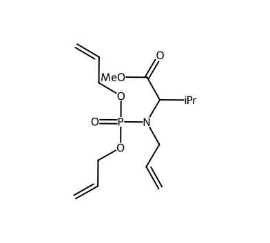 C=CCOP(=O)(OCC=C)N(CC=C)C(C(=O)OC)C(C)C